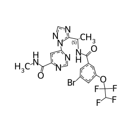 CNC(=O)c1cc(-n2ncnc2[C@H](C)NC(=O)c2cc(Br)cc(OC(F)(F)C(F)F)c2)ncn1